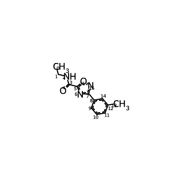 CCNC(=O)c1nc(-c2cccc(C)c2)no1